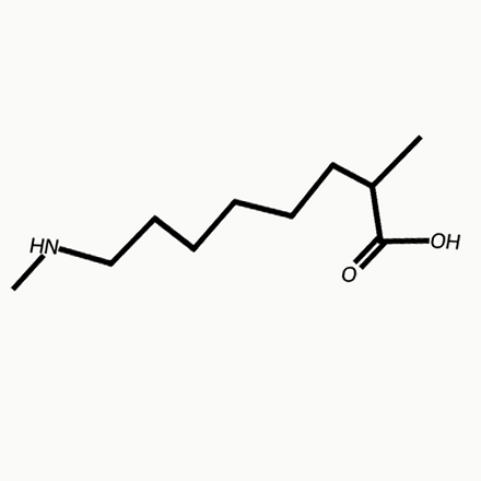 CNCCCCCCC(C)C(=O)O